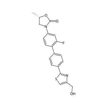 [CH2][C@H]1CN(c2ccc(-c3ccc(-c4nc(CO)cs4)cc3)c(F)c2)C(=O)O1